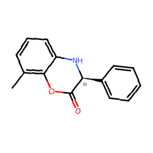 Cc1cccc2c1OC(=O)[C@H](c1ccccc1)N2